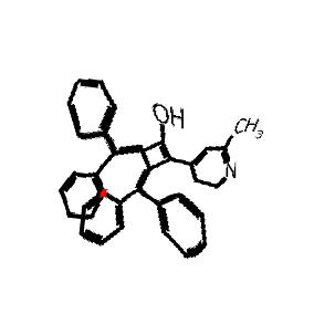 CC1=NCCC(C2=C(O)/C(=C(/C3=CCCC=C3)c3ccccc3)C2=C(c2ccccc2)c2ccccc2)=C1